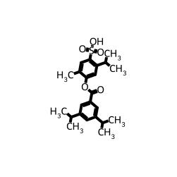 Cc1cc(S(=O)(=O)O)c(C(C)C)cc1OC(=O)c1cc(C(C)C)cc(C(C)C)c1